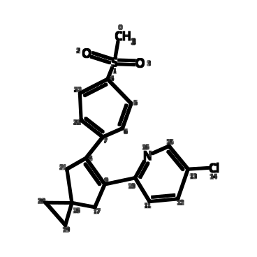 CS(=O)(=O)c1ccc(C2=C(c3ccc(Cl)cn3)CC3(CC3)C2)cc1